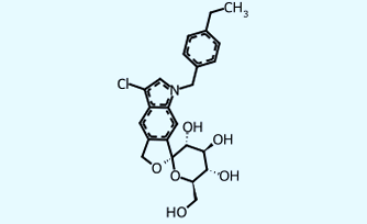 CCc1ccc(Cn2cc(Cl)c3cc4c(cc32)[C@]2(OC4)O[C@H](CO)[C@@H](O)[C@H](O)[C@H]2O)cc1